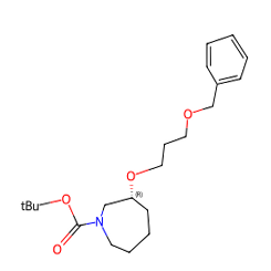 CC(C)(C)OC(=O)N1CCCC[C@@H](OCCCOCc2ccccc2)C1